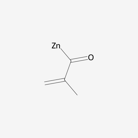 C=C(C)[C](=O)[Zn]